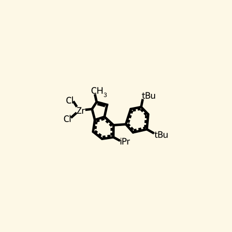 CC1=Cc2c(ccc(C(C)C)c2-c2cc(C(C)(C)C)cc(C(C)(C)C)c2)[CH]1[Zr]([Cl])[Cl]